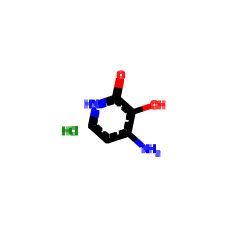 Cl.Nc1cc[nH]c(=O)c1O